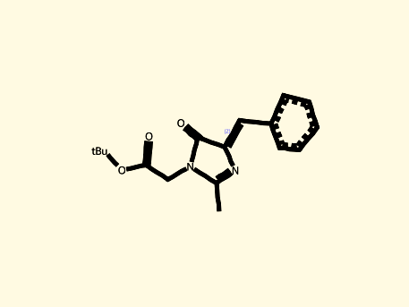 CC1=N/C(=C\c2ccccc2)C(=O)N1CC(=O)OC(C)(C)C